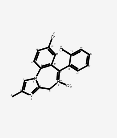 Cc1cn2c(n1)C[N+]([O-])=C(c1ccccc1Cl)c1cc(Br)ccc1-2